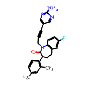 Nc1ncc(C#CCN2C(=O)C(c3ccc(C(F)(F)F)cc3C(F)(F)F)CCc3cc(F)ccc32)cn1